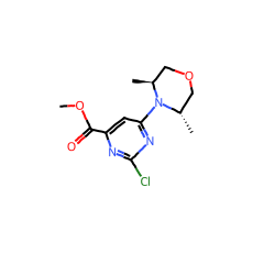 COC(=O)c1cc(N2[C@@H](C)COC[C@@H]2C)nc(Cl)n1